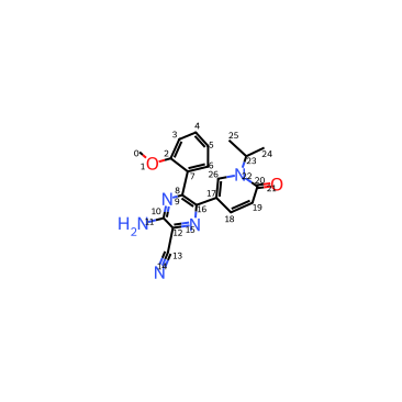 COc1ccccc1-c1nc(N)c(C#N)nc1-c1ccc(=O)n(C(C)C)c1